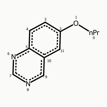 CCCOc1ccc2ncn[c]c2c1